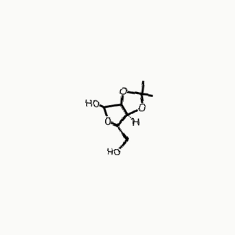 CC1(C)OC2C(O)O[C@H](CO)[C@@H]2O1